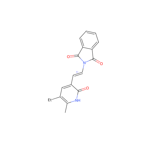 CCc1cc(/C=C/N2C(=O)c3ccccc3C2=O)c(=O)[nH]c1C